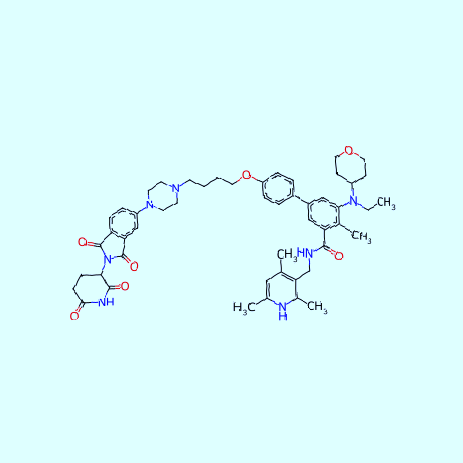 CCN(c1cc(-c2ccc(OCCCCN3CCN(c4ccc5c(c4)C(=O)N(C4CCC(=O)NC4=O)C5=O)CC3)cc2)cc(C(=O)NCC2=C(C)C=C(C)NC2C)c1C)C1CCOCC1